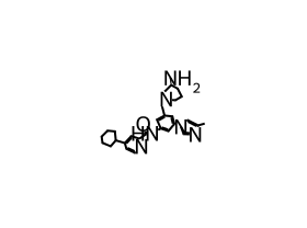 Cc1cn(-c2cc(CN3CCC[C@H](N)C3)cc(NC(=O)c3cc(C4CCCCC4)ccn3)c2)cn1